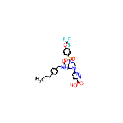 CCCc1ccc(CNC(=O)[C@H]2CN(c3ccc(C(=O)O)nn3)CCN2S(=O)(=O)c2ccc(OC(F)(F)F)cc2)cc1